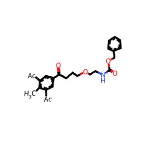 CC(=O)c1cc(C(=O)CCCOCCNC(=O)OCc2ccccc2)cc(C(C)=O)c1C